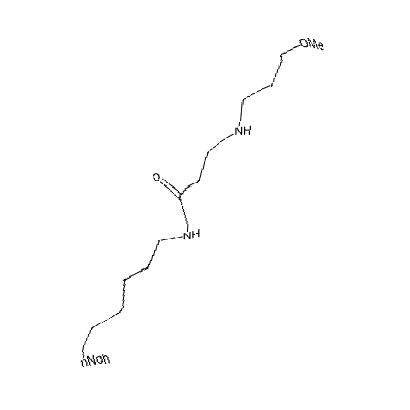 CCCCCCCCCCCCCCNC(=O)CCNCCCOC